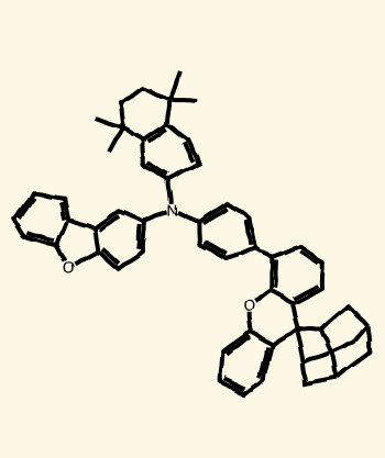 CC1(C)CCC(C)(C)c2cc(N(c3ccc(-c4cccc5c4Oc4ccccc4C54C5CC6CC7CC4C75C6)cc3)c3ccc4oc5ccccc5c4c3)ccc21